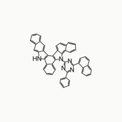 c1ccc(-c2nc(-c3cccc4ccccc34)nc(-n3c4c5ccccc5ccc4c4c5c6cc7ccccc7cc6[nH]c5c5ccccc5c43)n2)cc1